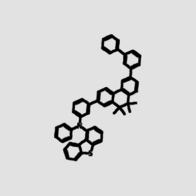 CC1(C)c2ccc(-c3cccc(-c4ccccc4)c3)cc2-c2ccc(-c3cccc(N(c4ccccc4)c4cccc5sc6ccccc6c45)c3)cc2C1(C)C